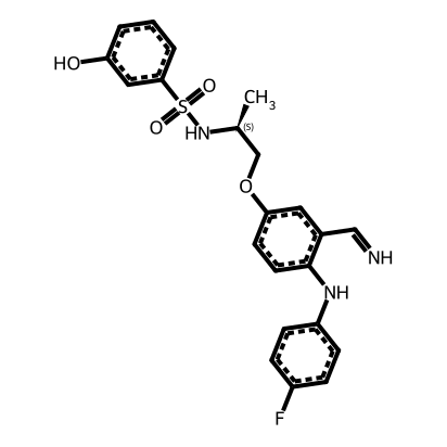 C[C@@H](COc1ccc(Nc2ccc(F)cc2)c(C=N)c1)NS(=O)(=O)c1cccc(O)c1